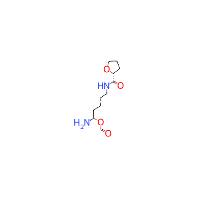 N[C@@H](CCCCNC(=O)[C@H]1CCCO1)OC=O